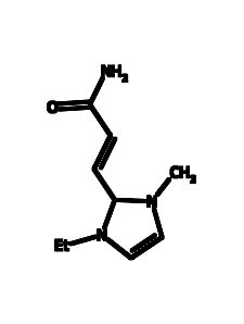 CCN1C=CN(C)C1C=CC(N)=O